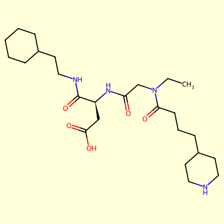 CCN(CC(=O)N[C@@H](CC(=O)O)C(=O)NCCC1CCCCC1)C(=O)CCCC1CCNCC1